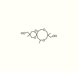 CC1CC2(OCC(C)(CO)CO2)C(C)COCC(C)(CO)CO1